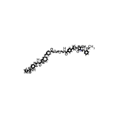 CCOc1ccccc1N/N=C1/C(=O)N(c2nc(-c3ccc(C(=O)NCCOCCOCC(=O)N4CCC(CN5CCCn6nc(C(=O)Nc7nc8ccc(NS(=O)(=O)c9cccs9)cc8s7)cc6C5)CC4)cc3)cs2)N=C1C